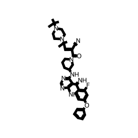 CC(C)(C)N1CCN(C(C)(C)/C=C(\C#N)C(=O)N2CCCC(Nc3ncnc(N)c3C(=N)c3ccc(Oc4ccccc4)cc3F)C2)CC1